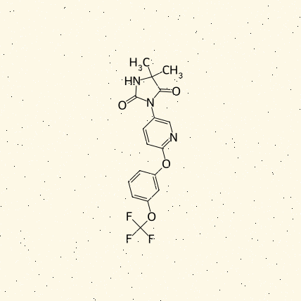 CC1(C)NC(=O)N(c2ccc(Oc3cccc(OC(F)(F)F)c3)nc2)C1=O